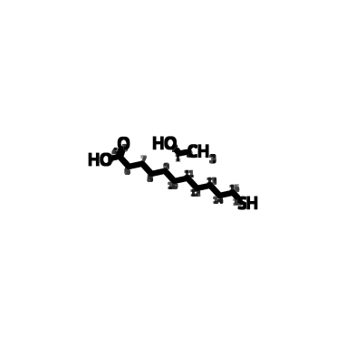 CCO.O=C(O)CCCCCCCCCCS